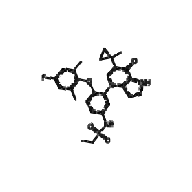 CCS(=O)(=O)Nc1ccc(Oc2c(C)cc(F)cc2C)c(-n2cc(C3(C)CC3)c(=O)c3[nH]ccc32)c1